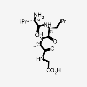 CC(C)C[C@H](NC(=O)[C@@H](N)C(C)C)C(=O)N[C@@H](C)C(=O)NCC(=O)O